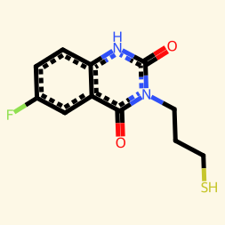 O=c1[nH]c2ccc(F)cc2c(=O)n1CCCS